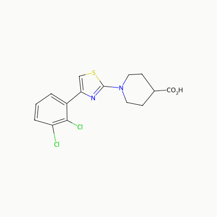 O=C(O)C1CCN(c2nc(-c3cccc(Cl)c3Cl)cs2)CC1